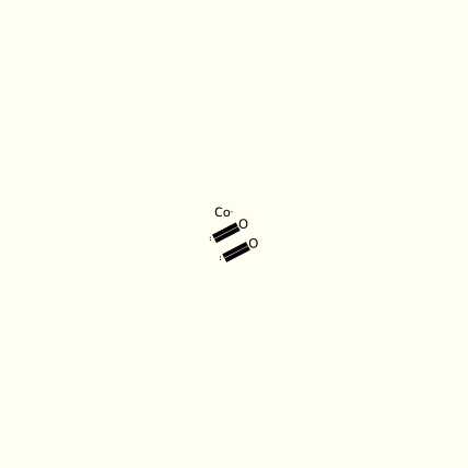 [C]=O.[C]=O.[Co]